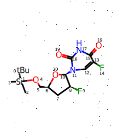 CC(C)(C)[Si](C)(C)OC[C@@H]1C[C@H](F)[C@H](n2cc(F)c(=O)[nH]c2=O)O1